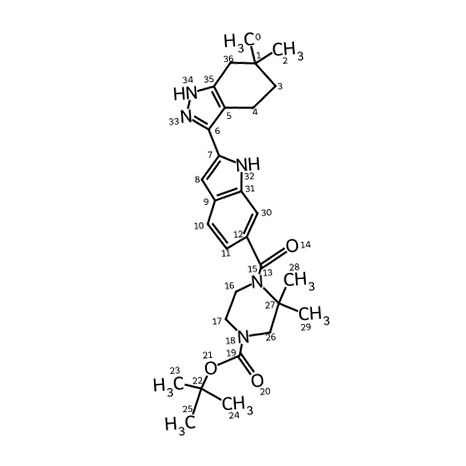 CC1(C)CCc2c(-c3cc4ccc(C(=O)N5CCN(C(=O)OC(C)(C)C)CC5(C)C)cc4[nH]3)n[nH]c2C1